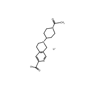 CC(=O)N1CCC(N2CCc3cc(C(=O)[O-])ncc3C2)CC1.[Li+]